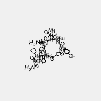 CC[C@H](C)[C@@H]1NC(=O)[C@H](Cc2ccc(O)cc2)NC(=O)CCC(=O)NC[C@@H](C(=O)N2CCC[C@H]2C(=O)N[C@H](C(=O)NCC(N)=O)C2CCCCC2)NC(=O)[C@H](CC(N)=O)NC(=O)[C@H](CCC(N)=O)NC1=O